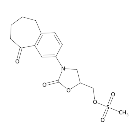 CS(=O)(=O)OCC1CN(c2ccc3c(c2)C(=O)CCCC3)C(=O)O1